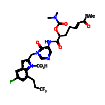 CNC(=O)/C=C/CC[C@H](OC(=O)N(C)C)C(=O)Nc1cncn(Cc2cc3cc(F)cc(CCC(F)(F)F)c3n2C(=O)O)c1=O